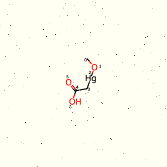 C[O][Hg][CH2]C(=O)O